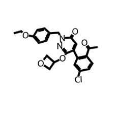 CCOc1ccc(Cn2nc(OC3COC3)c(-c3cc(Cl)ccc3C(C)=O)cc2=O)cc1